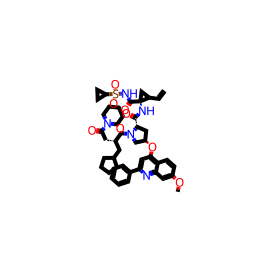 C=CC1C[C@]1(NC(=O)[C@@H]1C[C@@H](Oc2cc(-c3ccccc3)nc3cc(OC)ccc23)CN1C(=O)[C@@H](CC(=O)N1CCCCC1)CC1CCCC1)C(=O)NS(=O)(=O)C1CC1